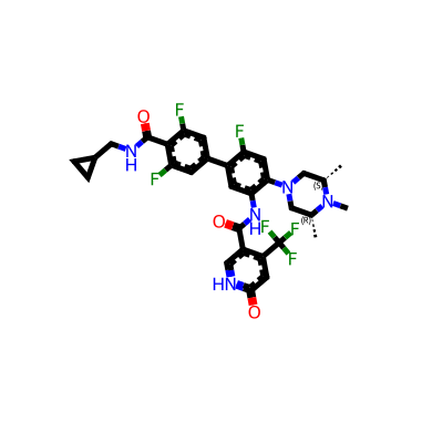 C[C@@H]1CN(c2cc(F)c(-c3cc(F)c(C(=O)NCC4CC4)c(F)c3)cc2NC(=O)c2c[nH]c(=O)cc2C(F)(F)F)C[C@H](C)N1C